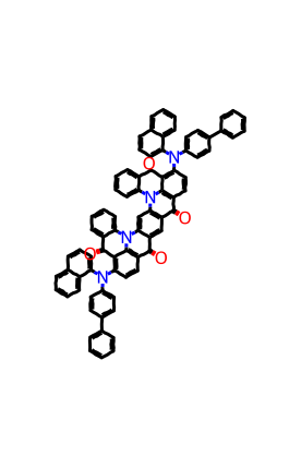 O=c1c2cc3c(=O)c4ccc(N(c5ccc(-c6ccccc6)cc5)c5cccc6ccccc56)c5c(=O)c6ccccc6n(c3cc2n2c3ccccc3c(=O)c3c(N(c6ccc(-c7ccccc7)cc6)c6cccc7ccccc67)ccc1c32)c45